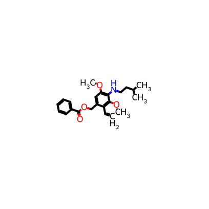 C=Cc1c(COC(=O)c2ccccc2)cc(OC)c(NCCC(C)C)c1OC